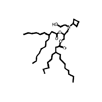 CCCCCCCCC(CCCCCC)CC(=O)OCC(CN(CCO)C1CCC1)OC(=O)CC(CCCCCC)CCCCCCCC